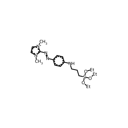 CCO[Si](CCCNc1ccc(/N=N/c2n(C)cc[n+]2C)cc1)(OCC)OCC